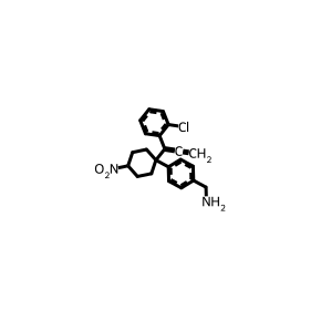 C=C=C(c1ccccc1Cl)C1(c2ccc(CN)cc2)CCC([N+](=O)[O-])CC1